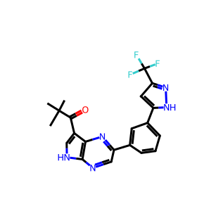 CC(C)(C)C(=O)c1c[nH]c2ncc(-c3cccc(-c4cc(C(F)(F)F)n[nH]4)c3)nc12